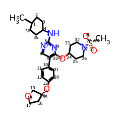 CC1CCC(Nc2ncc(-c3ccc(O[C@H]4CCOC4)cc3)c(OC3CCN(S(C)(=O)=O)CC3)n2)CC1